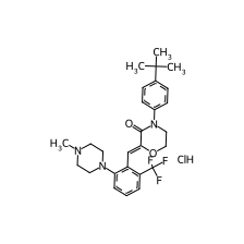 CN1CCN(c2cccc(C(F)(F)F)c2/C=C2\OCCN(c3ccc(C(C)(C)C)cc3)C2=O)CC1.Cl